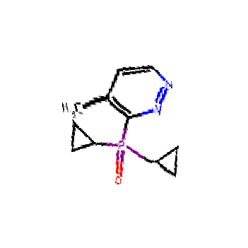 Cc1ccnnc1P(=O)(C1CC1)C1CC1